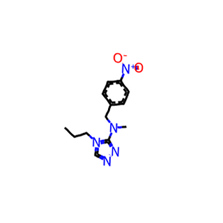 CCCn1cnnc1N(C)Cc1ccc([N+](=O)[O-])cc1